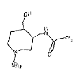 CC(C)(C)N1CCC(O)C(NC(=O)C(F)(F)F)C1